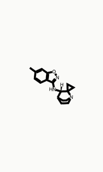 Cc1ccc2c(N[C@H]3C4CCN(CC4)C34CC4)noc2c1